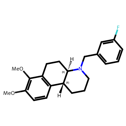 COc1ccc2c(c1OC)CC[C@@H]1[C@@H]2CCCN1Cc1cccc(F)c1